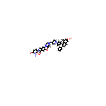 COc1c([C@@H]2c3ccc(O)cc3CC[C@@H]2c2ccccc2)ccc(N2CCC(CN3CCN4c5cc6c(cc5OC[C@@H]4C3)C(=O)N(C3CCC(=O)NC3=O)C6)CC2)c1F